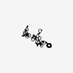 CCOP(C)(=O)CP(=O)(OCC)OC[C@H]1O[C@@H](n2cc(C)c(=O)n(COCc3ccccc3)c2=O)[C@H](OCCOC)[C@@H]1C